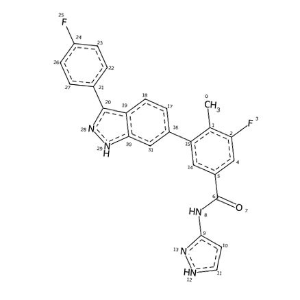 Cc1c(F)cc(C(=O)Nc2cc[nH]n2)cc1-c1ccc2c(-c3ccc(F)cc3)n[nH]c2c1